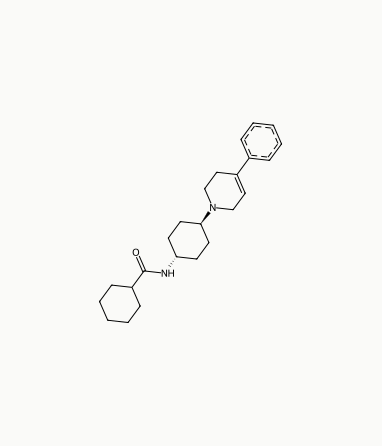 O=C(N[C@H]1CC[C@H](N2CC=C(c3ccccc3)CC2)CC1)C1CCCCC1